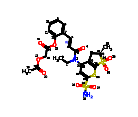 CCN(C(=O)/C=C/c1ccccc1OC(=O)COC(C)=O)[C@H]1C=C(S(N)(=O)=O)SC2=C1C[C@H](C)S2(=O)=O